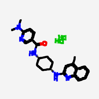 Cc1cc(N[C@H]2CC[C@@H](NC(=O)c3ccc(N(C)C)nc3)CC2)nc2ccccc12.Cl.Cl